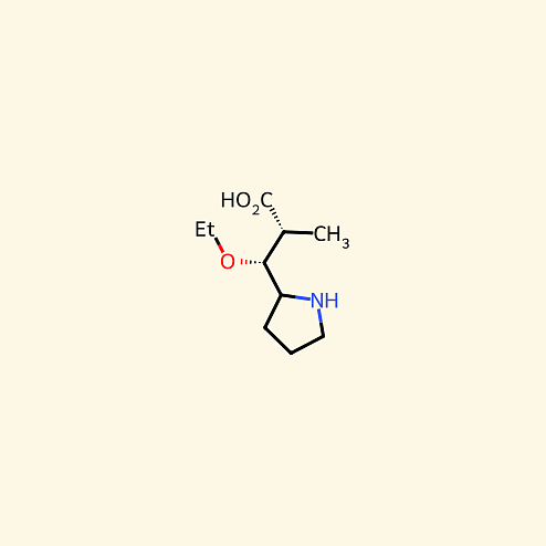 CCO[C@@H](C1CCCN1)[C@@H](C)C(=O)O